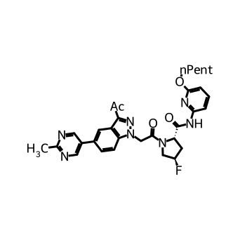 CCCCCOc1cccc(NC(=O)[C@@H]2C[C@@H](F)CN2C(=O)Cn2nc(C(C)=O)c3cc(-c4cnc(C)nc4)ccc32)n1